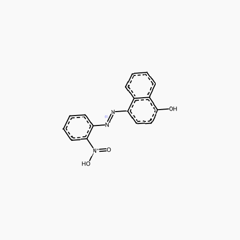 O=[N+](O)c1ccccc1/N=N/c1ccc(O)c2ccccc12